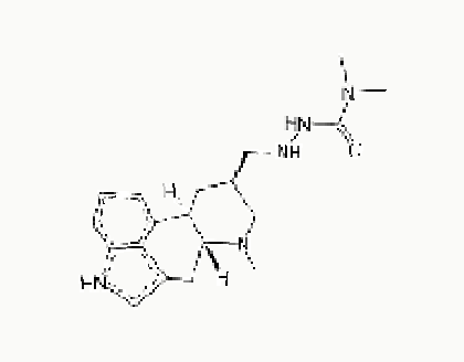 CN(C)C(=O)NNC[C@@H]1C[C@@H]2c3cccc4[nH]cc(c34)C[C@H]2N(C)C1